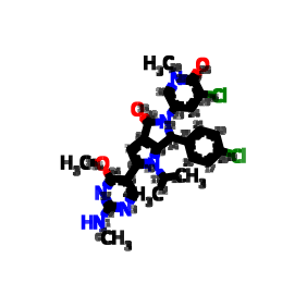 CNc1ncc(-c2cc3c(n2C(C)C)C(c2ccc(Cl)cc2)N(c2cc(Cl)c(=O)n(C)c2)C3=O)c(OC)n1